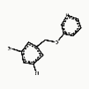 Clc1cc(Br)cc(COc2cccnc2)c1